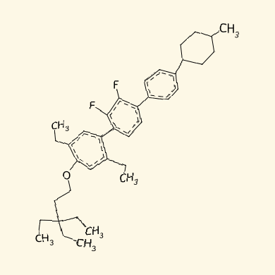 CCc1cc(-c2ccc(-c3ccc(C4CCC(C)CC4)cc3)c(F)c2F)c(CC)cc1OCCC(CC)(CC)CC